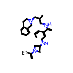 C=C(NCC(C)CN1CCc2ccccc2C1)C(/C=C\C)=C/CNC1CN(C(=C)CC)C1